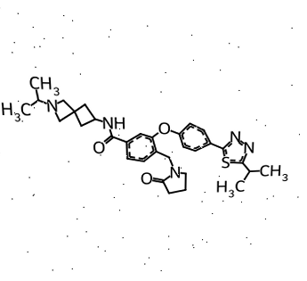 CC(C)c1nnc(-c2ccc(Oc3cc(C(=O)NC4CC5(C4)CN(C(C)C)C5)ccc3CN3CCCC3=O)cc2)s1